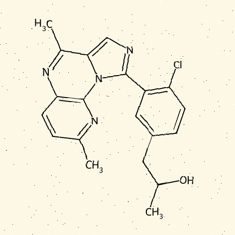 Cc1ccc2nc(C)c3cnc(-c4cc(CC(C)O)ccc4Cl)n3c2n1